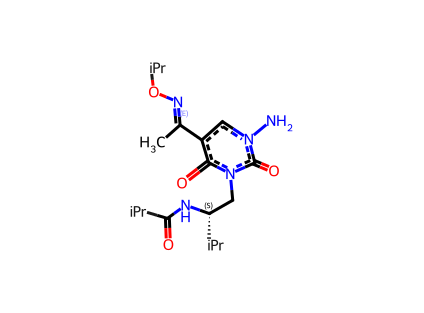 C/C(=N\OC(C)C)c1cn(N)c(=O)n(C[C@@H](NC(=O)C(C)C)C(C)C)c1=O